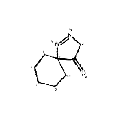 O=C1CN=NC12CCCCC2